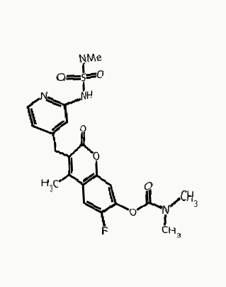 CNS(=O)(=O)Nc1cc(Cc2c(C)c3cc(F)c(OC(=O)N(C)C)cc3oc2=O)ccn1